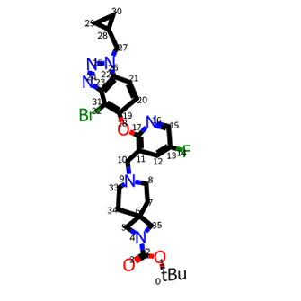 CC(C)(C)OC(=O)N1CC2(CCN(Cc3cc(F)cnc3Oc3ccc4c(nnn4CC4CC4)c3Br)CC2)C1